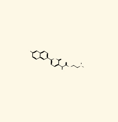 CC(C)C(C(=O)NCCN(C)C)c1ccc(-c2ccc3cc(F)ccc3c2)[nH]c1=O